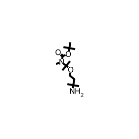 CN(C(=O)OC(C)(C)C)C(C)(C)OCCC(C)(C)N